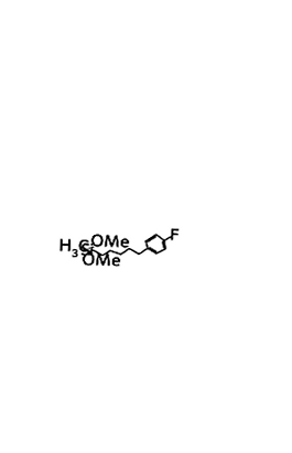 CO[Si](C)(CCCCCc1ccc(F)cc1)OC